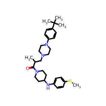 CSc1ccc(NC2CCN(C(=O)C(C)CN3CCN(c4ccc(C(C)(C)C)cc4)CC3)CC2)cc1